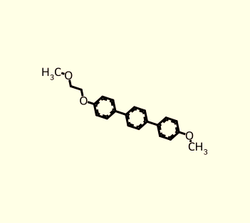 COCCOc1ccc(-c2ccc(-c3ccc(OC)cc3)cc2)cc1